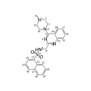 CN1CCN(c2nc(CNS(=O)(=O)c3cccc4ccccc34)nc3ccccc23)CC1